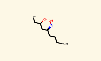 CCCCCCCCCCCC(CC(O)CC(C)C)=NO